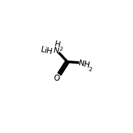 NC(N)=O.[LiH]